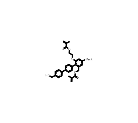 C=C(C)C(=O)OCCOc1cc(CCCCC)cc(COC(=O)C(=C)C)c1-c1ccc(-c2ccc(CO)cc2)cc1